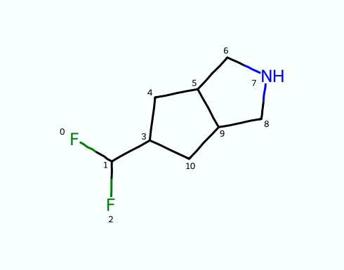 FC(F)C1CC2CNCC2C1